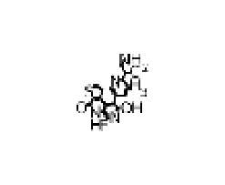 CC(CN)c1ccc(-c2c(O)nc(F)c3[nH]c(=O)c4sccc4c23)cn1